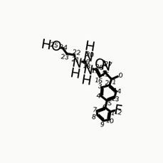 CC(c1ccc(-c2ccccc2F)cc1)c1cc(NC(=N)NCCCO)on1